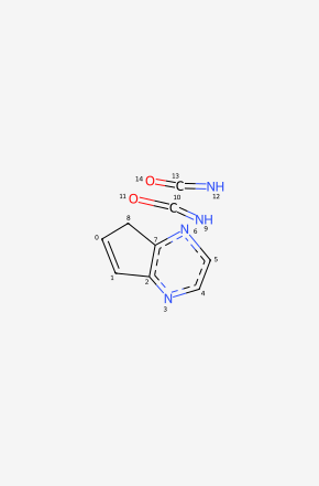 C1=Cc2nccnc2C1.N=C=O.N=C=O